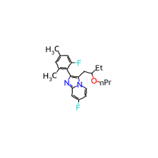 CCCOC(CC)Cc1c(-c2c(C)cc(C)cc2F)nc2cc(F)ccn12